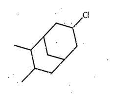 CC1CC2CC(Cl)CC(C2)C1C